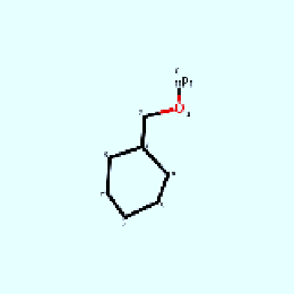 CCCOCC1CCCCC1